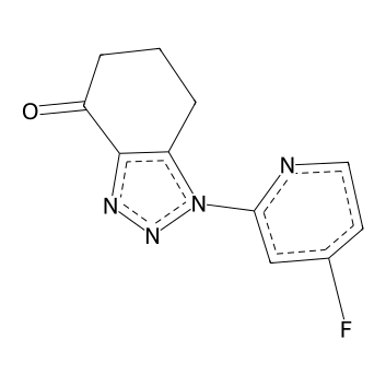 O=C1CCCc2c1nnn2-c1cc(F)ccn1